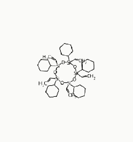 C=C[Si]1(C2CCCCC2)O[Si](C=C)(C2CCCCC2)O[Si](C=C)(C2CCCCC2)O[Si](C=C)(C2CCCCC2)O[Si](C=C)(C2CCCCC2)O1